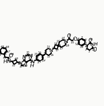 O=C1CC[C@@H](c2ccc(OCC(=O)N3CCC4(CC3)CC(N3CCC(c5ccc(Nc6ncnc7c6ncn7C6CC(NC(=O)Cc7ccccc7)C6)cc5)CC3)C4)cc2)C(=O)N1